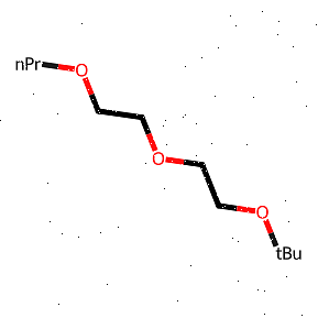 CCCOCCOCCOC(C)(C)C